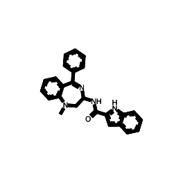 CN1CC(NC(=O)c2cc3ccccc3[nH]2)N=C(c2ccccc2)c2ccccc21